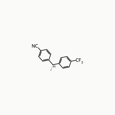 C[C@H](c1ccc(C#N)cc1)c1ccc(C(F)(F)F)cc1